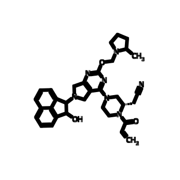 C=CC(=O)N1CCN(c2nc(OCN3CCCC3C)nc3c2CN(C2c4cccc5cccc(c45)C2O)C3)C[C@@H]1CC#N